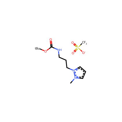 C[n+]1cccn1CCCNC(=O)OC(C)(C)C.O=S(=O)([O-])C(F)(F)F